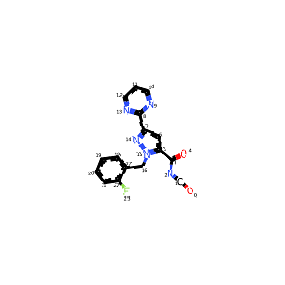 O=C=NC(=O)c1cc(-c2ncccn2)nn1Cc1ccccc1F